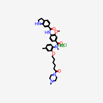 COc1cc(C(=O)N(C)c2ccc(C)cc2OCCCCCC(=O)N2CCN(C)CC2)ccc1NC(=O)c1ccc2c(c1)NCC2.Cl.Cl